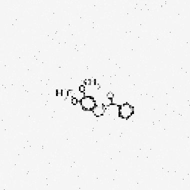 COc1cc2c(cc1OC)N(C(=O)c1ccccc1)CC2